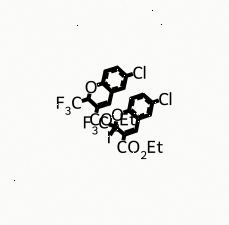 CCOC(=O)C1=Cc2cc(Cl)ccc2OC1(I)C(F)(F)F.CCOC(=O)C1=Cc2cc(Cl)ccc2OC1C(F)(F)F